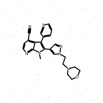 Cn1c(-c2cnn(CCN3CCOCC3)c2)c(-c2cccnc2)c2c(C#N)ccnc21